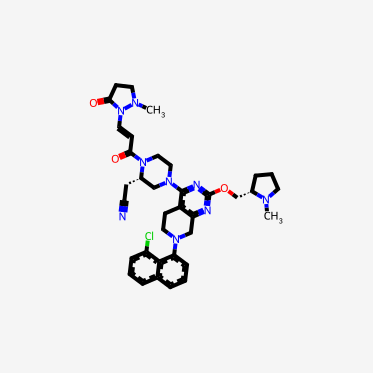 CN1CCC[C@H]1COc1nc2c(c(N3CCN(C(=O)/C=C/N4C(=O)CCN4C)[C@@H](CC#N)C3)n1)CCN(c1cccc3cccc(Cl)c13)C2